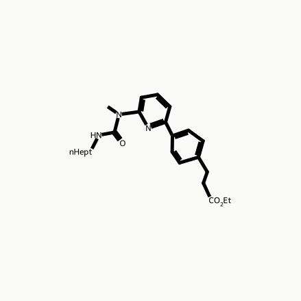 CCCCCCCNC(=O)N(C)c1cccc(-c2ccc(CCC(=O)OCC)cc2)n1